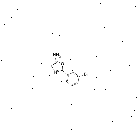 Nc1nnc(-c2cccc(Br)c2)o1